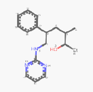 CCC(O)C(C)CC(CNc1ncccn1)c1ccccc1